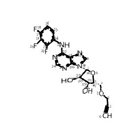 C#CCOC[C@H]1O[C@@H](n2cnc3c(Nc4ccc(F)c(F)c4F)ncnc32)[C@H](O)[C@@H]1O